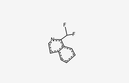 FC(F)c1nccc2ccccc12